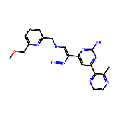 COCc1cccc(CN/C=C(\N=N)c2cc(-c3nccnc3C)nc(N)n2)n1